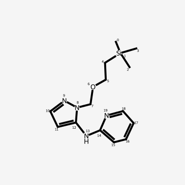 C[Si](C)(C)CCOCn1nccc1Nc1ccccn1